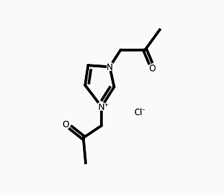 CC(=O)Cn1cc[n+](CC(C)=O)c1.[Cl-]